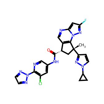 C[C@@]1(c2ccn(C3CC3)n2)C[C@H](C(=O)Nc2cnc(-n3nccn3)c(Cl)c2)c2cnc3cc(F)nn3c21